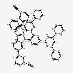 N#Cc1cccc(-c2ccc3c4ccc(-c5cccc(C#N)c5)cc4n(-c4ccc(-c5nc(-c6ccccc6)cc(-c6ccccc6)n5)cc4-c4cc(-c5ccccc5)nc(-c5ccccc5)n4)c3c2)c1